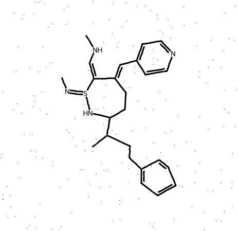 C/N=S1/NC(C(C)CCc2ccccc2)CCC(=C\c2ccncc2)/C1=C\NC